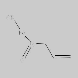 C=CC[N+](=O)[Fe][N]=O